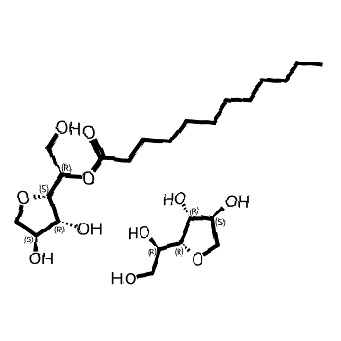 CCCCCCCCCCCC(=O)O[C@H](CO)[C@H]1OC[C@H](O)[C@H]1O.OC[C@@H](O)[C@H]1OC[C@H](O)[C@H]1O